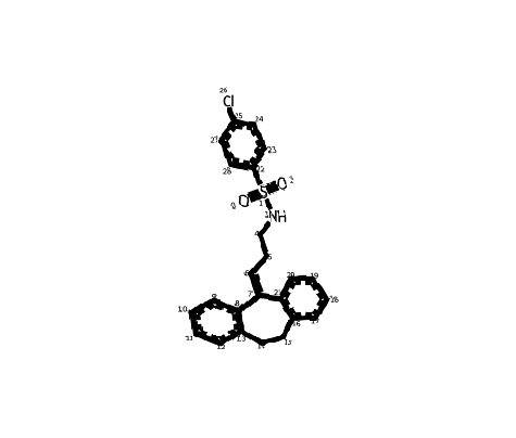 O=S(=O)(NCCC=C1c2ccccc2CCc2ccccc21)c1ccc(Cl)cc1